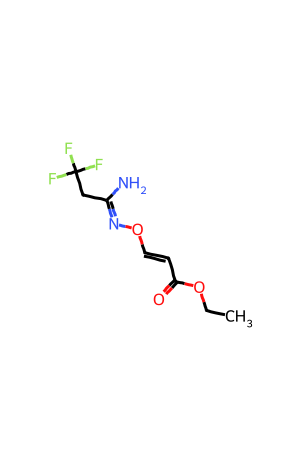 CCOC(=O)C=CON=C(N)CC(F)(F)F